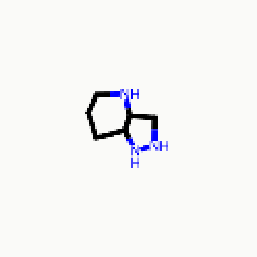 C1CNC2CNNC2C1